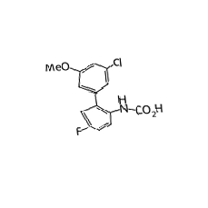 COc1cc(Cl)cc(-c2cc(F)ccc2NC(=O)O)c1